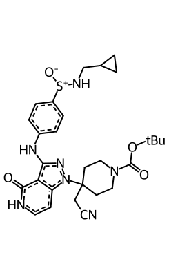 CC(C)(C)OC(=O)N1CCC(CC#N)(n2nc(Nc3ccc([S+]([O-])NCC4CC4)cc3)c3c(=O)[nH]ccc32)CC1